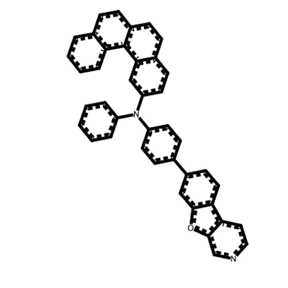 c1ccc(N(c2ccc(-c3ccc4c(c3)oc3cnccc34)cc2)c2ccc3ccc4ccc5ccccc5c4c3c2)cc1